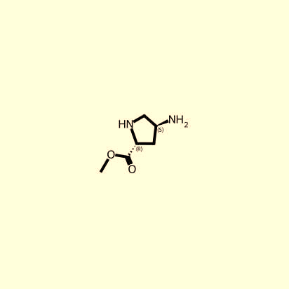 COC(=O)[C@H]1C[C@H](N)CN1